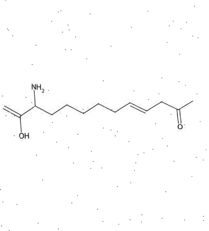 C=C(O)C(N)CCCCC/C=C/CC(C)=O